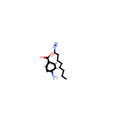 CCCCCCCC[N+]#N.Nc1ccc(C(=O)O)cc1